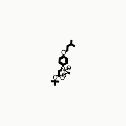 CC(C)CCOc1ccc(N(CC(=O)OC(C)(C)C)S(C)(=O)=O)cc1